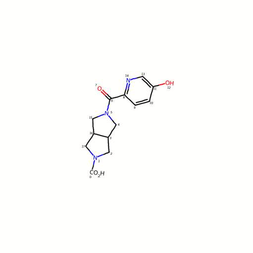 O=C(O)N1CC2CN(C(=O)c3ccc(O)cn3)CC2C1